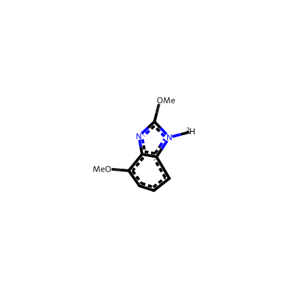 [2H]n1c(OC)nc2c(OC)cccc21